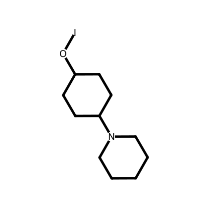 IOC1CCC(N2CCCCC2)CC1